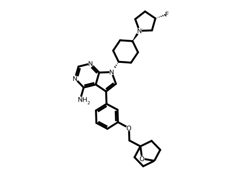 Nc1ncnc2c1c(-c1cccc(OCC34CCC(CC3)O4)c1)cn2[C@H]1CC[C@H](N2CC[C@H](F)C2)CC1